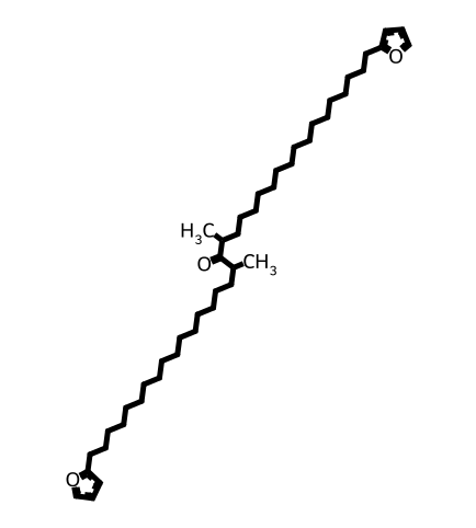 CC(CCCCCCCCCCCCCCCCc1ccco1)C(=O)C(C)CCCCCCCCCCCCCCCCc1ccco1